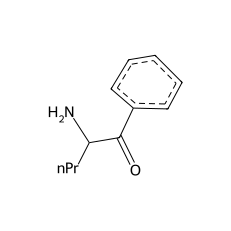 CCCC(N)C(=O)c1ccccc1